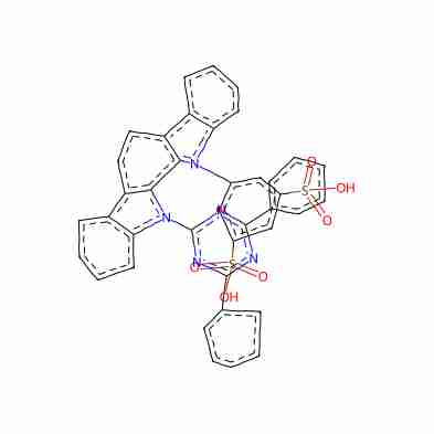 O=S(=O)(O)c1cc(-n2c3ccccc3c3ccc4c5ccccc5n(-c5nc(-c6ccccc6)nc(-c6ccccc6)n5)c4c32)cc(S(=O)(=O)O)c1